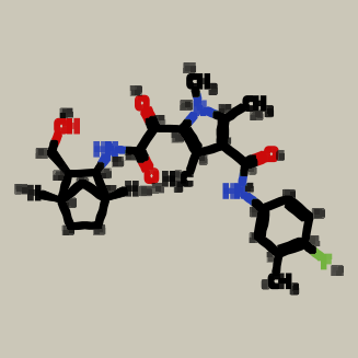 Cc1cc(NC(=O)c2c(C)c(C(=O)C(=O)N[C@H]3[C@@H]4CC[C@@H](C4)[C@H]3CO)n(C)c2C)ccc1F